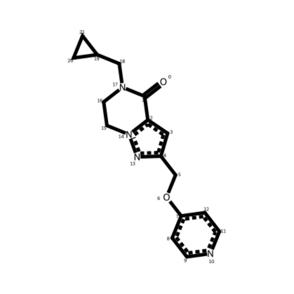 O=C1c2cc(COc3ccncc3)nn2CCN1CC1CC1